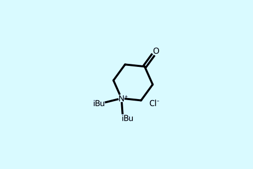 CCC(C)[N+]1(C(C)CC)CCC(=O)CC1.[Cl-]